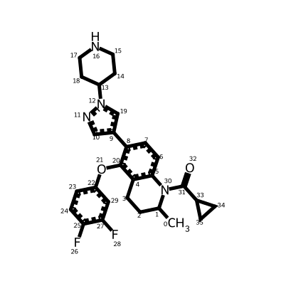 CC1CCc2c(ccc(-c3cnn(C4CCNCC4)c3)c2Oc2ccc(F)c(F)c2)N1C(=O)C1CC1